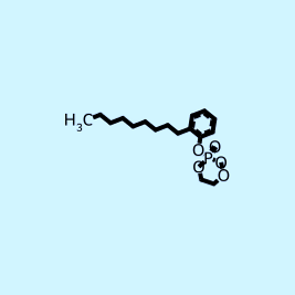 CCCCCCCCCc1ccccc1OP1(=O)OCCOO1